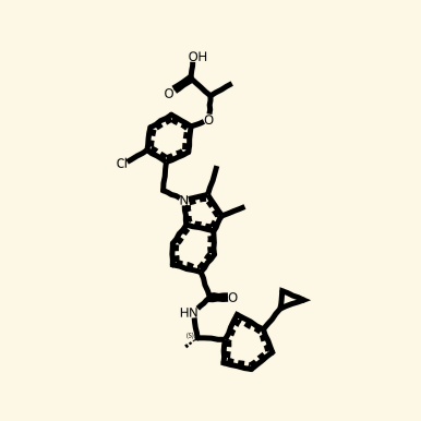 Cc1c(C)n(Cc2cc(OC(C)C(=O)O)ccc2Cl)c2ccc(C(=O)N[C@@H](C)c3cccc(C4CC4)c3)cc12